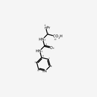 CCCC(NC(=O)Nc1ccncc1)C(=O)O